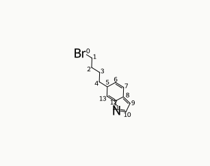 BrCCCCC1C=CC2=CC=NC2=C1